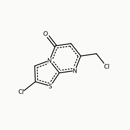 O=c1cc(CCl)nc2sc(Cl)cn12